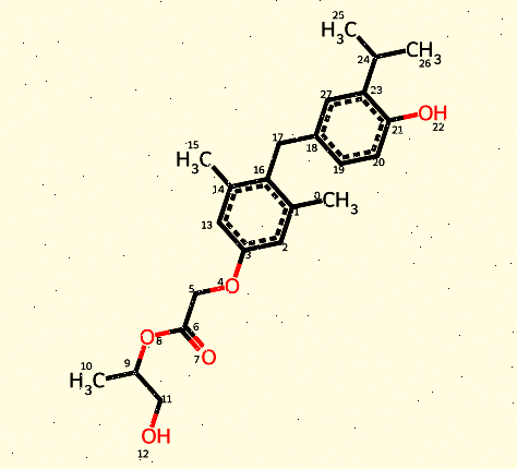 Cc1cc(OCC(=O)OC(C)CO)cc(C)c1Cc1ccc(O)c(C(C)C)c1